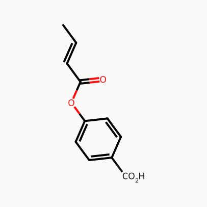 CC=CC(=O)Oc1ccc(C(=O)O)cc1